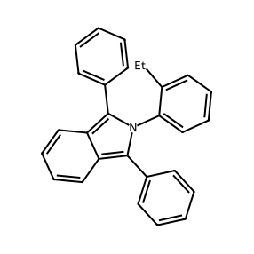 CCc1ccccc1-n1c(-c2ccccc2)c2ccccc2c1-c1ccccc1